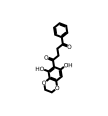 O=C(CCC(=O)c1c(O)cc2c(c1O)OCCO2)c1ccccc1